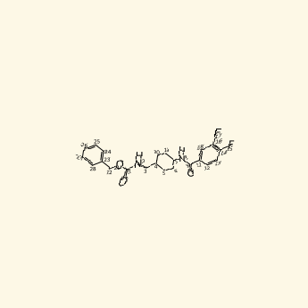 O=C(NCC1CCC(NC(=O)c2ccc(F)c(F)c2)CC1)OCc1ccccc1